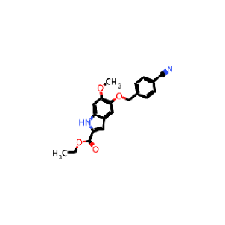 CCOC(=O)c1cc2cc(OCc3ccc(C#N)cc3)c(OC)cc2[nH]1